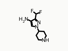 Nc1cn(C2CCNCC2)nc1C(F)F